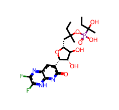 CCC(C)(C[C@H]1O[C@@H](c2cc3nc(F)c(F)[nH]c-3nc2=O)[C@@H](O)C1O)OP(=O)(O)C(C)(O)CC